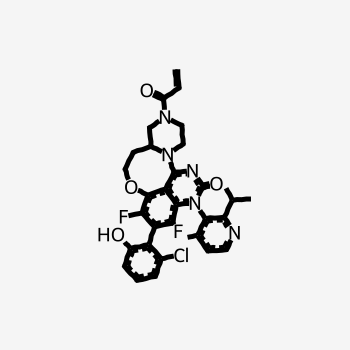 C=CC(=O)N1CCN2c3nc(=O)n(-c4c(C)ccnc4C(C)C)c4c(F)c(-c5c(O)cccc5Cl)c(F)c(c34)OCCC2C1